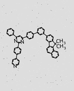 CC1(C)c2ccc(-c3cccc(-c4ccc(-c5cc(-c6ccccc6)nc(-c6ccc(-c7ccncc7)cc6)n5)cc4)c3)cc2-c2ccc3ccccc3c21